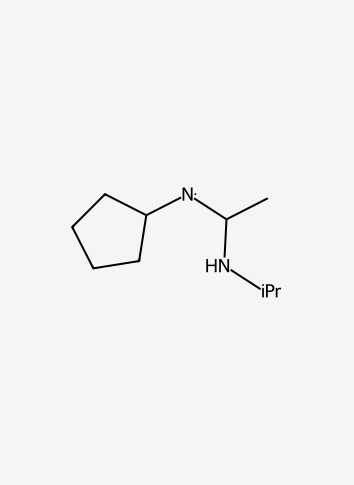 CC(C)NC(C)[N]C1CCCC1